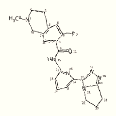 CN1CCc2cc(F)c(C(=O)Nc3cccc(-c4nnc5n4CCC5)n3)cc2C1